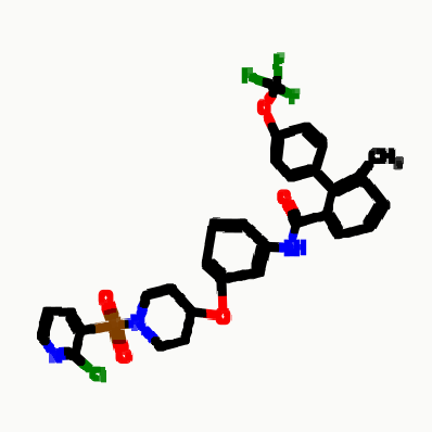 Cc1cccc(C(=O)Nc2cccc(OC3CCN(S(=O)(=O)c4cccnc4Cl)CC3)c2)c1-c1ccc(OC(F)(F)F)cc1